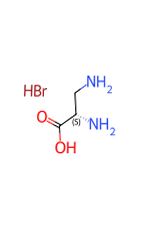 Br.NC[C@H](N)C(=O)O